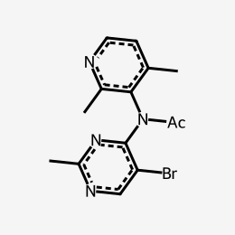 CC(=O)N(c1nc(C)ncc1Br)c1c(C)ccnc1C